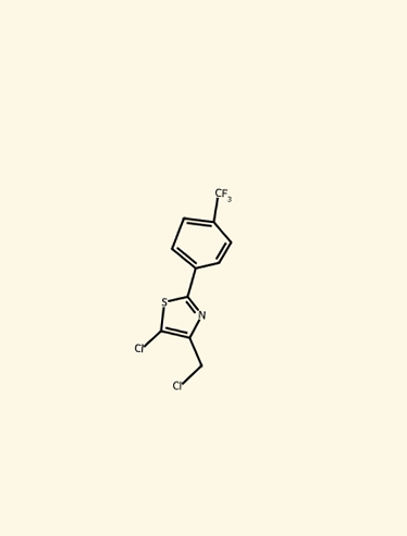 FC(F)(F)c1ccc(-c2nc(CCl)c(Cl)s2)cc1